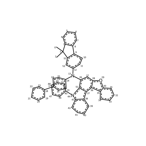 CC1(C)c2ccccc2-c2ccc(N(c3ccc(-c4ccccc4)cc3)c3cc4oc5ccccc5c4c4c5ccccc5n(-c5ccccc5)c34)cc21